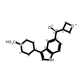 O=C(O)N1CCC(c2c[nH]c3ccc([C@@H](Cl)C4COC4)cc23)CC1